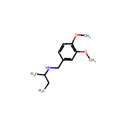 CCC(C)NCc1ccc(OC)c(OC)c1